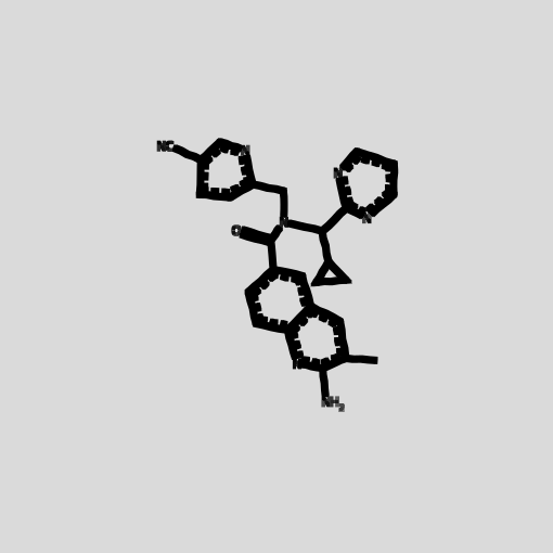 Cc1cc2cc(C(=O)N(Cc3ccc(C#N)cn3)C(c3ncccn3)C3CC3)ccc2nc1N